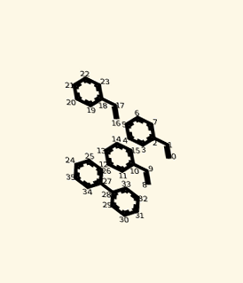 C=Cc1ccccc1.C=Cc1ccccc1.C=Cc1ccccc1.c1ccc(-c2ccccc2)cc1